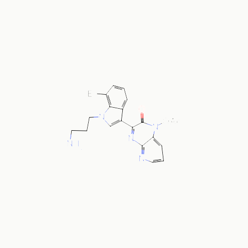 CCc1cccc2c(-c3nc4ncccc4n(OC(C)=O)c3=O)cn(CCCN)c12